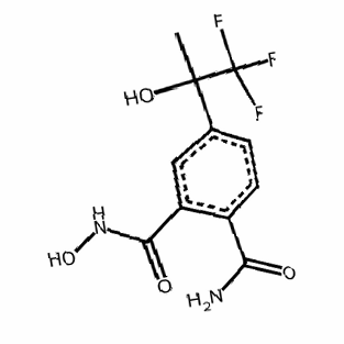 CC(O)(c1ccc(C(N)=O)c(C(=O)NO)c1)C(F)(F)F